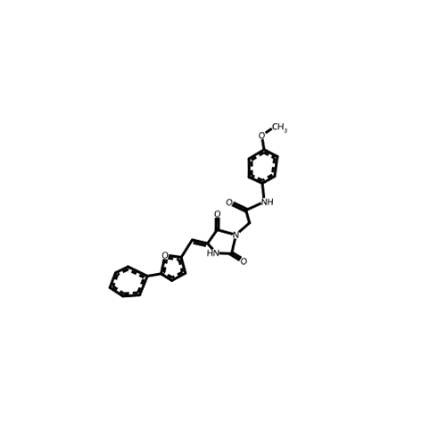 COc1ccc(NC(=O)CN2C(=O)N/C(=C\c3ccc(-c4ccccc4)o3)C2=O)cc1